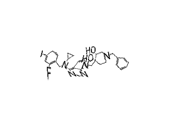 O[C@@H]1CN(Cc2ccccc2)CC[C@@]1(O)Cn1ccc2c(N(Cc3ccc(I)cc3F)C3CC3)ncnc21